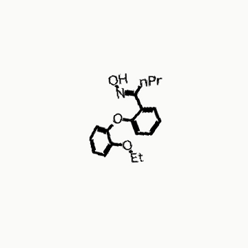 CCCC(=NO)c1ccccc1Oc1ccccc1OCC